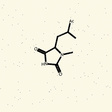 CC(=O)C(C)CC1C(=O)NC(=O)N1C